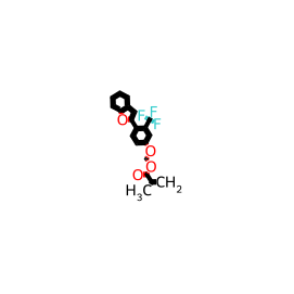 C=C(C)C(=O)OCOc1ccc(-c2cc3ccccc3o2)c(C(F)(F)F)c1